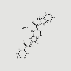 Cl.O=C(Nc1cc2n(n1)CCN(C(=O)c1cc3ccccc3[nH]1)C2)C1CCNCC1